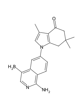 Bc1cnc(N)c2ccc(-n3cc(C)c4c3CC(C)(C)CC4=O)cc12